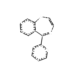 C1=CNc2ccccc2C(c2ccccn2)=N1